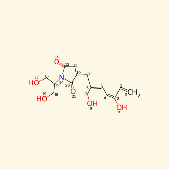 C=C/C(O)=C\C=C(/CO)CC1CC(=O)N(C(CO)CO)C1=O